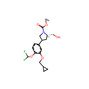 CC(C)(C)OC(=O)N1CC(c2ccc(OC(F)F)c(OCC3CC3)c2)C[C@H]1CO